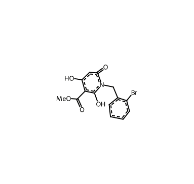 COC(=O)c1c(O)cc(=O)n(Cc2ccccc2Br)c1O